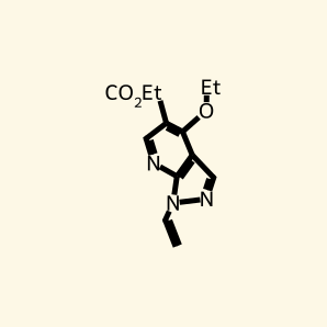 C=Cn1ncc2c(OCC)c(C(=O)OCC)cnc21